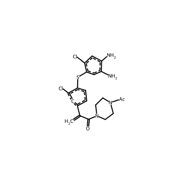 C=C(C(=O)N1CCN(C(C)=O)CC1)c1ccc(Sc2cc(N)c(N)cc2Cl)c(Cl)c1